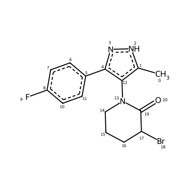 Cc1[nH]nc(-c2ccc(F)cc2)c1N1CCCC(Br)C1=O